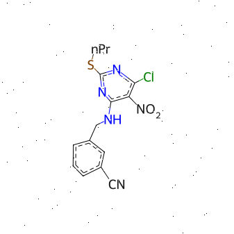 CCCSc1nc(Cl)c([N+](=O)[O-])c(NCc2cccc(C#N)c2)n1